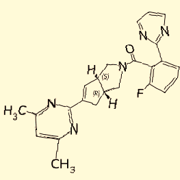 Cc1cc(C)nc(C2=C[C@@H]3CN(C(=O)c4c(F)cccc4-c4ncccn4)C[C@@H]3C2)n1